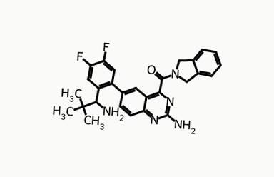 CC(C)(C)C(N)c1cc(F)c(F)cc1-c1ccc2nc(N)nc(C(=O)N3Cc4ccccc4C3)c2c1